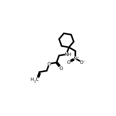 C=CCOC(=O)CNC1(C[N+](=O)[O-])CCCCC1